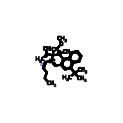 C=C(O)C1(C)[N+](/C=C\CCC)=Cc2cc(C(C)(C)C)c3ccccc3c2C1(C)COC